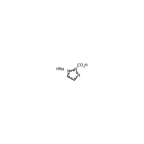 O=C(O)n1nccn1.[NaH]